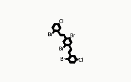 Clc1ccc(Br)c(C=Cc2cc(Br)c(C=Cc3cc(Cl)ccc3Br)cc2Br)c1